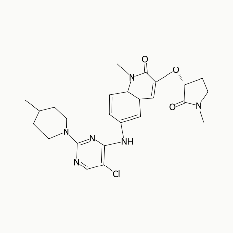 CC1CCN(c2ncc(Cl)c(NC3=CC4C=C(O[C@@H]5CCN(C)C5=O)C(=O)N(C)C4C=C3)n2)CC1